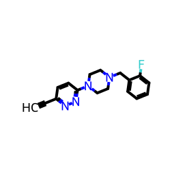 C#Cc1ccc(N2CCN(Cc3ccccc3F)CC2)nn1